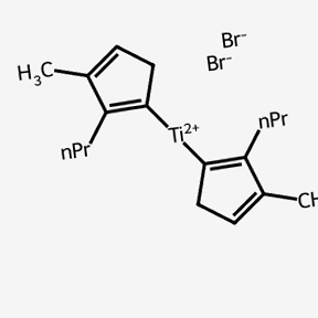 CCCC1=[C]([Ti+2][C]2=C(CCC)C(C)=CC2)CC=C1C.[Br-].[Br-]